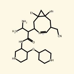 CCCC12CC(CC#N)/C=N\C(C(C(=O)NC3CNCCC3OC3CCNCC3)C(N)N)CC1(CC)C2